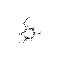 CCc1cc(C)cc(=O)o1